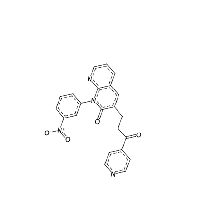 O=C(CCc1cc2cccnc2n(-c2cccc([N+](=O)[O-])c2)c1=O)c1ccncc1